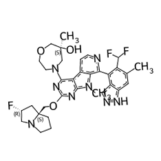 Cc1cc2[nH]ncc2c(-c2nccc3c4c(N5CCOC[C@@](C)(O)C5)nc(OC[C@@]56CCCN5C[C@H](F)C6)nc4n(C)c23)c1C(F)F